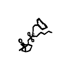 CCCCCN(Cc1ccccc1)S(=O)(=O)CC12CCC(CC1=O)C2(C)C